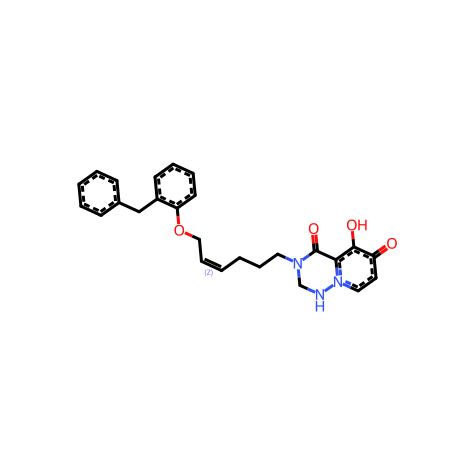 O=C1c2c(O)c(=O)ccn2NCN1CCC/C=C\COc1ccccc1Cc1ccccc1